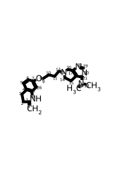 C=C1CCc2ccc(OCCCCN3CCc4c(ncnc4N(C)C)C3)cc2N1